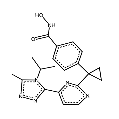 Cc1nnc(-c2ccnc(C3(c4ccc(C(=O)NO)cc4)CC3)n2)n1C(C)C